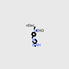 CCCCCCCCCCCCN(C=O)c1ccc(CN2C=Cc3[nH]cnc3C2)cc1